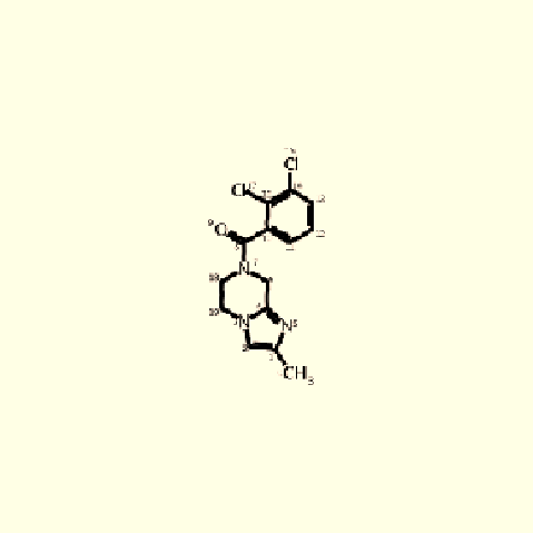 Cc1cn2c(n1)CN(C(=O)c1cccc(Cl)c1Cl)CC2